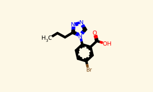 CCCc1nncn1-c1ccc(Br)cc1C(=O)O